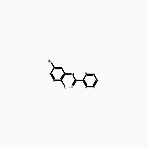 S=C(Nc1cc(Br)ccc1Br)c1ccccc1